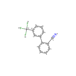 N#Cc1ccccc1-c1cccc(C(F)(F)F)c1